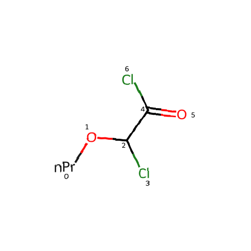 CCCOC(Cl)C(=O)Cl